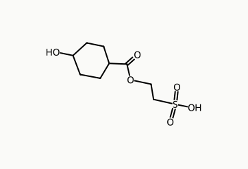 O=C(OCCS(=O)(=O)O)C1CCC(O)CC1